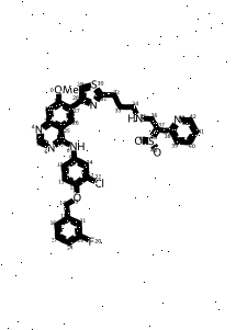 COc1cc2ncnc(Nc3ccc(OCc4cccc(F)c4)c(Cl)c3)c2cc1-c1csc(CCCNCC(c2ccccn2)=S(=O)=O)n1